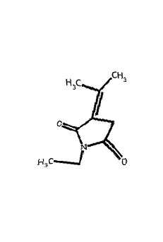 CCN1C(=O)CC(=C(C)C)C1=O